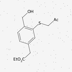 CCOC(=O)Cc1ccc(CO)c(SCC(C)=O)c1